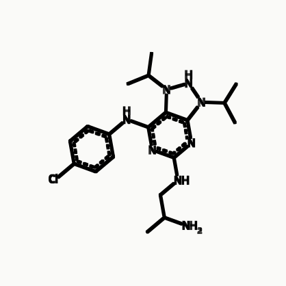 CC(N)CNc1nc(Nc2ccc(Cl)cc2)c2c(n1)N(C(C)C)NN2C(C)C